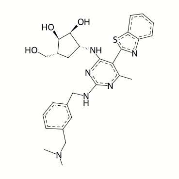 Cc1nc(NCc2cccc(CN(C)C)c2)nc(N[C@@H]2C[C@H](CO)[C@@H](O)[C@H]2O)c1-c1nc2ccccc2s1